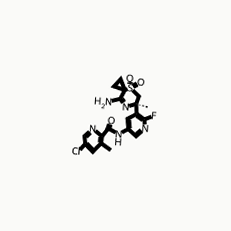 Cc1cc(Cl)cnc1C(=O)Nc1cnc(F)c([C@]2(C)CS(=O)(=O)C3(CC3)C(N)=N2)c1